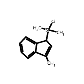 CC1=CC([Si](C)(C)Cl)c2ccccc21